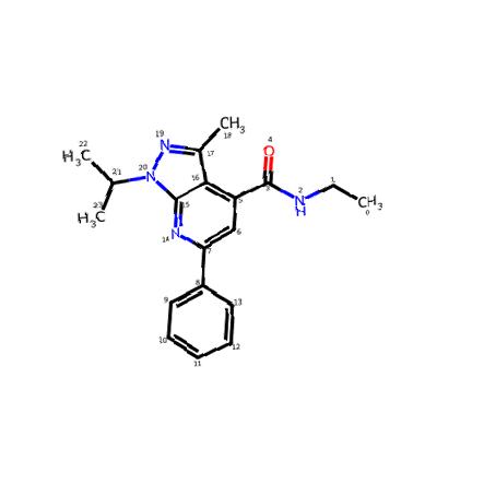 CCNC(=O)c1cc(-c2ccccc2)nc2c1c(C)nn2C(C)C